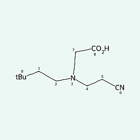 CC(C)(C)CCN(CCC#N)CC(=O)O